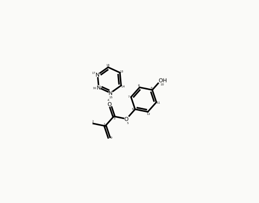 C=C(C)C(=O)Oc1ccc(O)cc1.c1cnnnc1